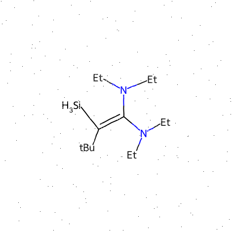 CCN(CC)C(=C([SiH3])C(C)(C)C)N(CC)CC